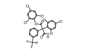 O=C(O)C(C(=O)Oc1c(Cl)cc(Cl)cc1Cl)(c1cccc(C(F)(F)F)c1)c1c(Cl)cc(Cl)cc1Cl